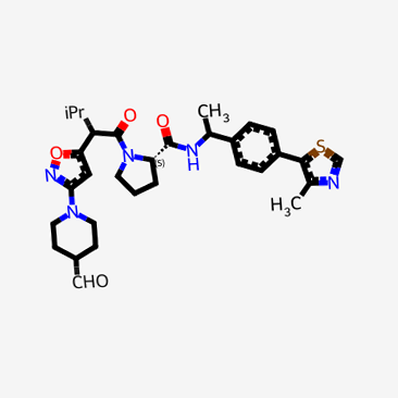 Cc1ncsc1-c1ccc(C(C)NC(=O)[C@@H]2CCCN2C(=O)C(c2cc(N3CCC(C=O)CC3)no2)C(C)C)cc1